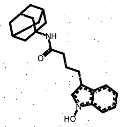 O=C(CCCc1cn(O)c2ccccc12)NC12CC3CC(CC(C3)C1)C2